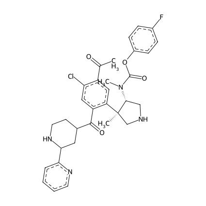 CC(=O)c1cc([C@]2(C)CNC[C@H]2N(C)C(=O)Oc2ccc(F)cc2)c(C(=O)C2CCNC(c3ccccn3)C2)cc1Cl